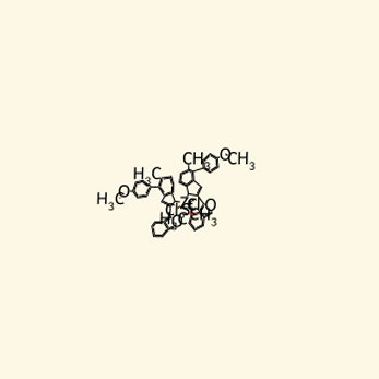 COc1ccc(-c2c(C)ccc3c2C=C(c2occ4ccccc24)[CH]3[Zr]([Cl])([Cl])([CH]2C(c3occ4ccccc34)=Cc3c2ccc(C)c3-c2ccc(OC)cc2)=[Si](C)C)cc1